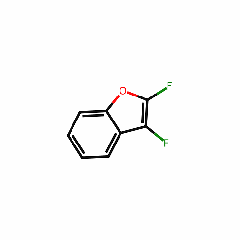 Fc1oc2ccccc2c1F